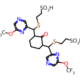 O=C1C(C(SCCS(=O)(=O)O)c2cncc(OC(F)(F)F)n2)CCCC1C(SCCS(=O)(=O)O)c1cncc(OC(F)(F)F)n1